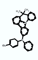 CC(C)(C)C1=CCC(N(c2ccccc2)c2ccc3c(c2)c2cccc4c2n3-c2ccccc2C4(C)C)C=C1